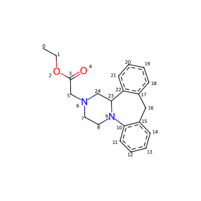 CCOC(=O)CN1CCN2c3ccccc3Cc3ccccc3C2C1